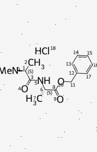 CN[C@@H](C)C(=O)N[C@@H](C)C(=O)OCc1ccccc1.Cl